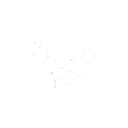 N#CC1(NC(=O)[C@@H]2C[C@@H](S(=O)(=O)c3ccccc3C(F)(F)F)CN2C(=O)C2(c3ccc(Cl)nc3)CC2)CC1